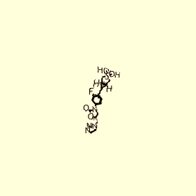 O=C1O[C@@H](Cn2ccnn2)CN1c1ccc(C2[C@H]3CS(O)(O)C[C@@H]23)c(F)c1